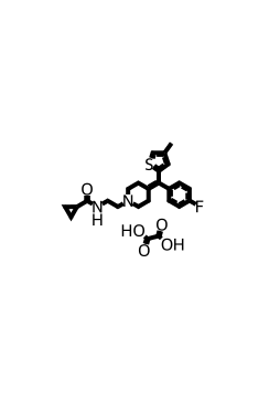 Cc1csc(C(=C2CCN(CCNC(=O)C3CC3)CC2)c2ccc(F)cc2)c1.O=C(O)C(=O)O